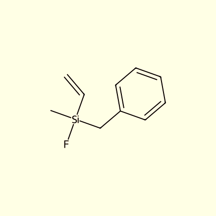 C=C[Si](C)(F)Cc1ccccc1